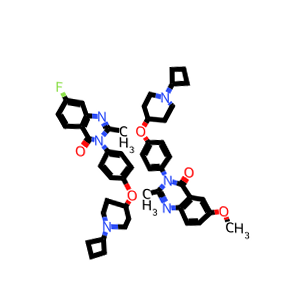 COc1ccc2nc(C)n(-c3ccc(OC4CCN(C5CCC5)CC4)cc3)c(=O)c2c1.Cc1nc2cc(F)ccc2c(=O)n1-c1ccc(OC2CCN(C3CCC3)CC2)cc1